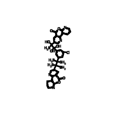 BC(B)(c1cc(Cl)cc(C(O)(O)C(B)(O)c2cnc3c(c2)c(=O)oc2ncccc23)c1)C(B)(B)c1cnc2c(c1)c(=O)oc1ncccc12